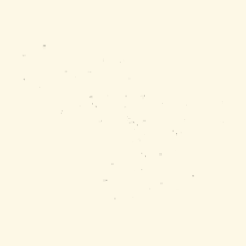 c1ccc(N(c2ccccc2)c2cccc3c4cccc5c6cc7c(nc6n(c23)c54)c2cccc3c4c5ccccc5ccc4n7c23)cc1